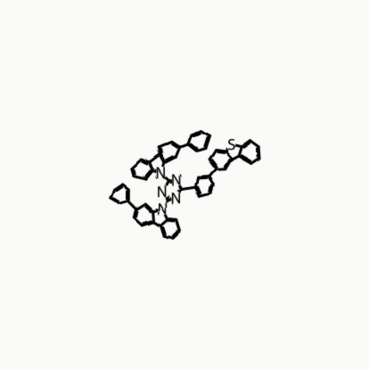 c1ccc(-c2ccc3c4ccccc4n(-c4nc(-c5cccc(-c6ccc7sc8ccccc8c7c6)c5)nc(-n5c6ccccc6c6ccc(-c7ccccc7)cc65)n4)c3c2)cc1